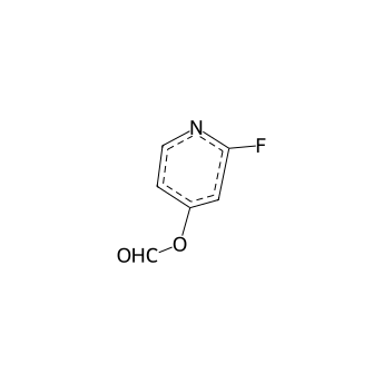 O=COc1ccnc(F)c1